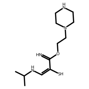 CC(C)N/C=C(/S)C(=N)OCCN1CCNCC1